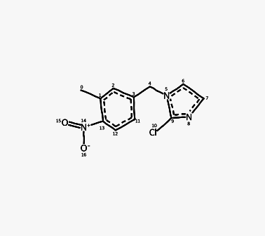 Cc1cc(Cn2ccnc2Cl)ccc1[N+](=O)[O-]